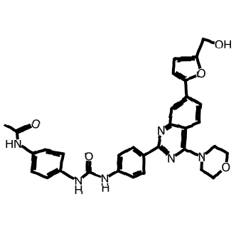 CC(=O)Nc1ccc(NC(=O)Nc2ccc(-c3nc(N4CCOCC4)c4ccc(-c5ccc(CO)o5)cc4n3)cc2)cc1